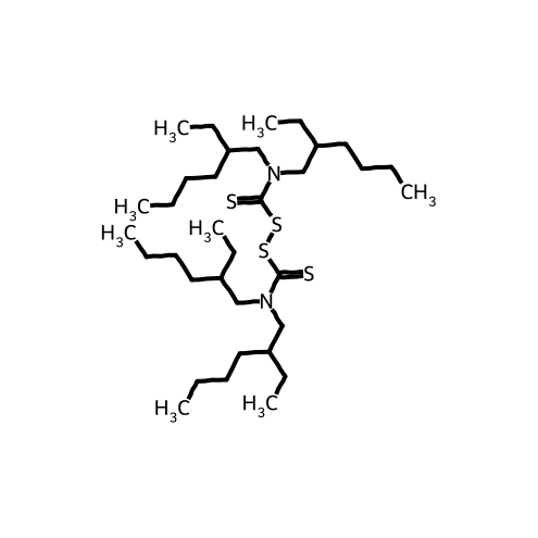 CCCCC(CC)CN(CC(CC)CCCC)C(=S)SSC(=S)N(CC(CC)CCCC)CC(CC)CCCC